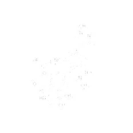 Cn1cc(-c2cc(C#N)c3c(-c4cc(OC(F)F)c5c(c4)C(C)(C)CNC5=O)n(C)nc3c2)cn1